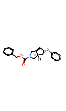 O=C(OCc1ccccc1)N1CC2=C[C@@H](Oc3ccccc3)C[C@@H]2C1